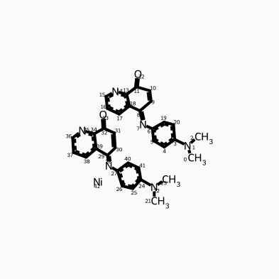 CN(C)c1ccc(N=C2C=CC(=O)c3ncccc32)cc1.CN(C)c1ccc(N=C2C=CC(=O)c3ncccc32)cc1.[Ni]